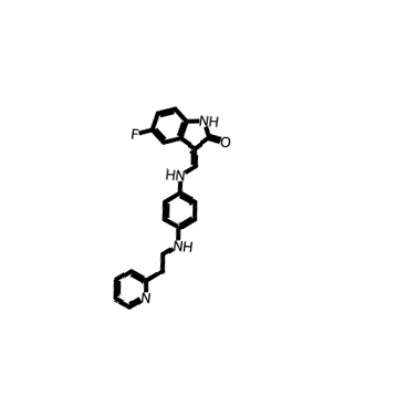 O=C1Nc2ccc(F)cc2/C1=C\Nc1ccc(NCCc2ccccn2)cc1